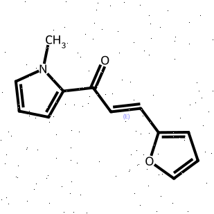 Cn1cccc1C(=O)/C=C/c1ccco1